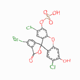 O=C1OC2(c3cc(Cl)c(O)cc3Oc3cc(OS(=O)(=O)O)c(Cl)cc32)c2ccc(Br)cc21